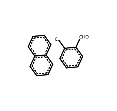 O=Cc1ccccc1Cl.c1ccc2ccccc2c1